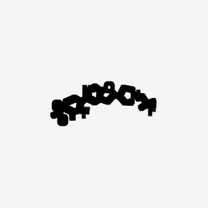 Cc1c(S(C)(=O)=O)ccc(-c2cc3c(cn2)OC(C2CCN(CC(C)(C)F)CC2)C3)c1F